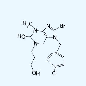 CN1c2nc(Br)n(Cc3ccc(Cl)cc3)c2CN(CCCO)C1O